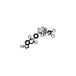 O=C(Nc1ccc(N2C(=O)Cc3c(ccc4c3CCN4)C2=O)cc1)NS(=O)(=O)c1cc(Cl)c(Cl)s1